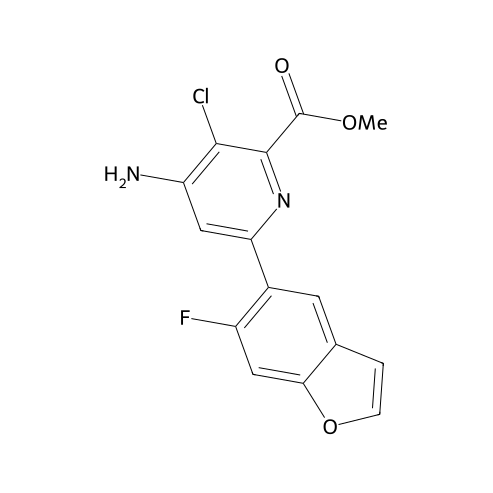 COC(=O)c1nc(-c2cc3ccoc3cc2F)cc(N)c1Cl